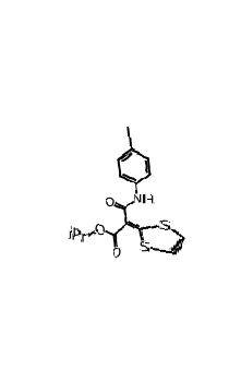 Cc1ccc(NC(=O)C(C(=O)OC(C)C)=C2SC=CS2)cc1